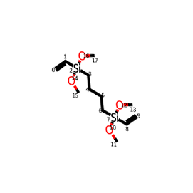 C=C[Si](CCCC[Si](C=C)(OC)OC)(OC)OC